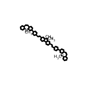 CN1c2ccccc2C=Cc2ccc(-c3ccc(/C=C/c4ccc5c(c4)C(C)(C)c4cc(/C=C/c6ccc(-c7ccc8c(c7)N(C)c7ccccc7C=C8)cc6)ccc4-5)cc3)cc21